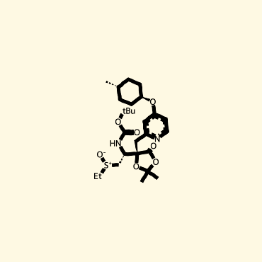 CC[S+]([O-])C[C@H](NC(=O)OC(C)(C)C)[C@@]1(Cc2cc(O[C@H]3CC[C@H](C)CC3)ccn2)OC(C)(C)OC1=O